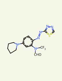 O=CN(c1cc(N2CCCCC2)ccc1N=Nc1nncs1)C(F)(F)F